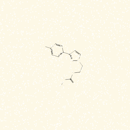 C[C@@H](Cn1ccc(-c2ccc(F)cc2)n1)NC(=O)OC(C)(C)C